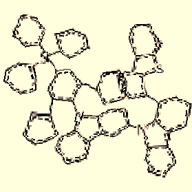 c1ccc(-c2cc([Si](c3ccccc3)(c3ccccc3)c3ccccc3)cc(-c3ccccc3)c2-n2c3ccccc3c3cc(-n4c5ccccc5c5cccc(-c6cccc7c6sc6ccccc67)c54)ccc32)cc1